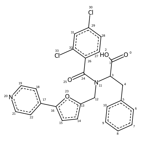 O=C(O)C(Cc1ccccc1)N(Cc1ccc(-c2ccncc2)o1)C(=O)c1ccc(Cl)cc1Cl